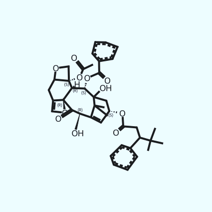 CC(=O)O[C@@]12COC1CC1=CO[C@@]13C(=O)[C@H](O)C1=C[C@@H](OC(=O)CC(c4ccccc4)C(C)(C)C)CC(O)([C@@H](OC(=O)c4ccccc4)[C@@H]32)C1(C)C